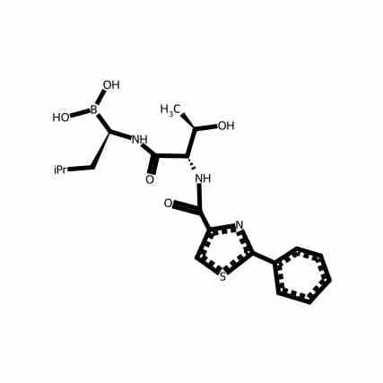 CC(C)C[C@H](NC(=O)[C@@H](NC(=O)c1csc(-c2ccccc2)n1)[C@@H](C)O)B(O)O